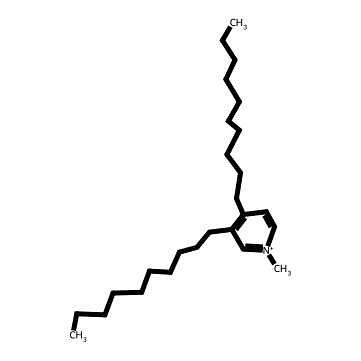 CCCCCCCCCCc1cc[n+](C)cc1CCCCCCCCCC